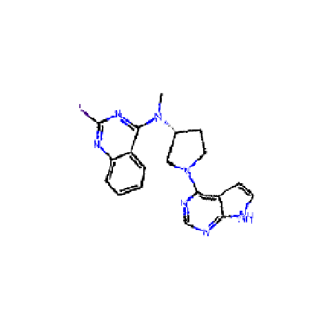 CN(c1nc(I)nc2ccccc12)[C@@H]1CCN(c2ncnc3[nH]ccc23)C1